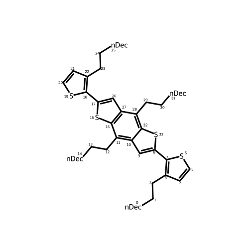 CCCCCCCCCCCCc1ccsc1-c1cc2c(CCCCCCCCCCCC)c3sc(-c4sccc4CCCCCCCCCCCC)cc3c(CCCCCCCCCCCC)c2s1